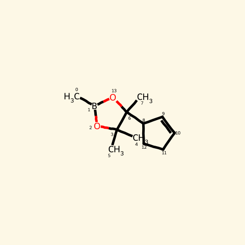 CB1OC(C)(C)C(C)(C2C=CCC2)O1